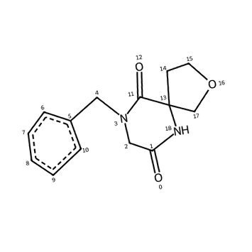 O=C1CN(Cc2ccccc2)C(=O)C2(CCOC2)N1